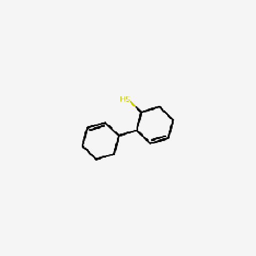 SC1CCC=CC1C1C=CCCC1